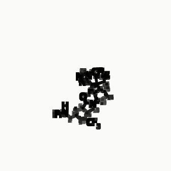 CC(C)NCc1cc2c(c(C(F)(F)F)c1)CN(c1cccc(C3([C@H](F)c4nncn4C)CC(F)(F)C3)c1)C2=O